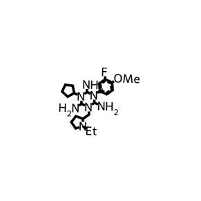 CCN1CCCC1CN1C(N)N(c2ccc(OC)c(F)c2)C(N)N(C2CCCC2)C1N